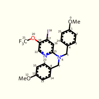 COc1ccc(CN(Cc2ccc(OC)cc2)c2cc(I)c(OC(F)(F)F)cn2)cc1